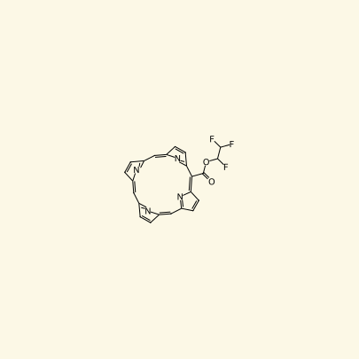 O=C(OC(F)C(F)F)C1=C2C=CC(=N2)C=C2C=CC(=N2)C=C2C=CC(=N2)C=C2C=CC1=N2